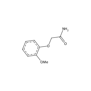 COc1ccccc1OCC(N)=O